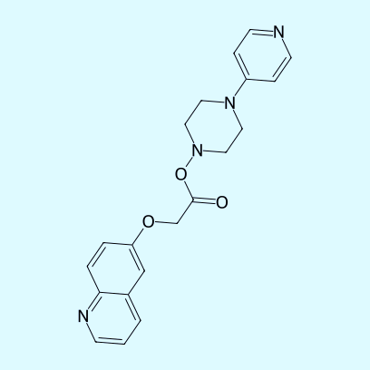 O=C(COc1ccc2ncccc2c1)ON1CCN(c2ccncc2)CC1